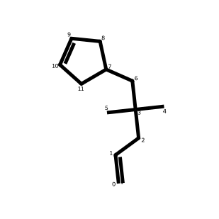 [CH]=CCC(C)(C)CC1CC=CC1